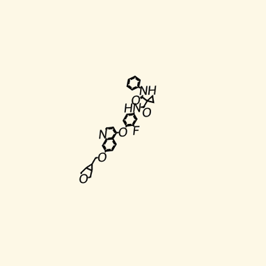 O=C(Nc1ccccc1)C1(C(=O)Nc2ccc(Oc3ccnc4cc(OCC5C6COCC65)ccc34)c(F)c2)CC1